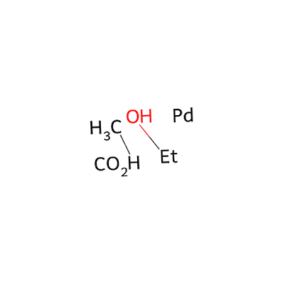 CC(=O)O.CCO.[Pd]